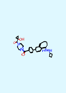 O=C(c1ccc(-c2ccc3c(c2)=CCCCC=3NNC2CCC2)cc1)N1CCN(C(=O)C2(O)CC2)CC1